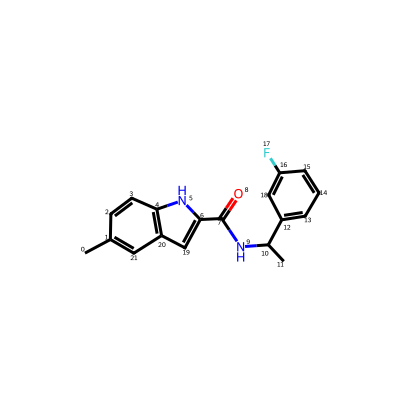 Cc1ccc2[nH]c(C(=O)NC(C)c3cccc(F)c3)cc2c1